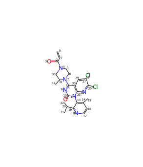 C=CC(=O)N1CCN(c2nc(=O)n(-c3c(C)ccnc3C(C)C)c3nc(Cl)c(Cl)cc23)C(C)C1